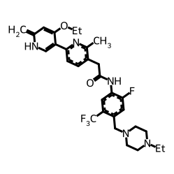 C=C1C=C(OCC)C(c2ccc(CC(=O)Nc3cc(C(F)(F)F)c(CN4CCN(CC)CC4)cc3F)c(C)n2)=CN1